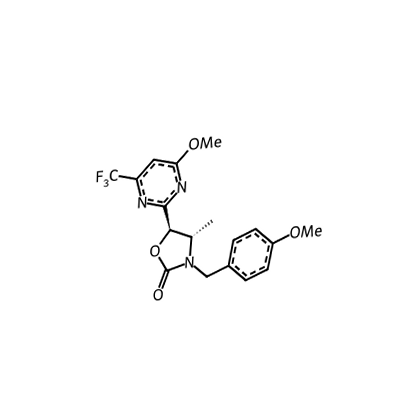 COc1ccc(CN2C(=O)O[C@@H](c3nc(OC)cc(C(F)(F)F)n3)[C@@H]2C)cc1